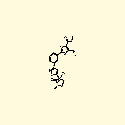 COC(=O)c1nc(-c2cccc(-c3cc([C@]4(O)CCN(C)C4=O)on3)c2)sc1C=O